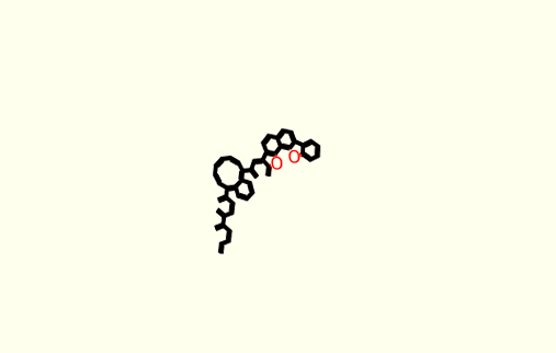 C=C/C=C\C(=C)C(=C)/C=C\C(=C)c1ccccccc(C(=C)/C=c2\c(=C)oc3c2ccc2ccc4c5ccccc5oc4c23)c2ccccc12